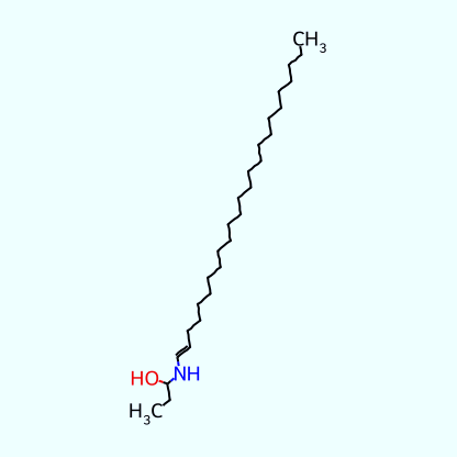 CCCCCCCCCCCCCCCCCCCCCCCC=CNC(O)CC